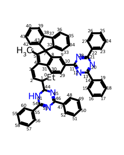 CCC(/C=C\C1=C(C)C2(c3cc(-c4nc(-c5ccccc5)nc(-c5ccccc5)n4)ccc31)c1ccccc1-c1ccccc12)C1N=C(c2ccccc2)N=C(c2ccccc2)N1